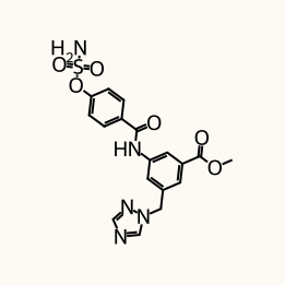 COC(=O)c1cc(Cn2cncn2)cc(NC(=O)c2ccc(OS(N)(=O)=O)cc2)c1